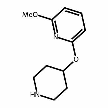 COc1cccc(OC2CCNCC2)n1